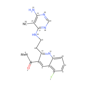 CNC(=O)c1cc2c(F)cccc2nc1CCNc1ncnc(N)c1C#N